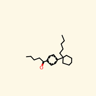 CCCCCC1(c2ccc(C(=O)CCCC)cc2)CCCCC1